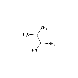 CC(C)C([NH])N